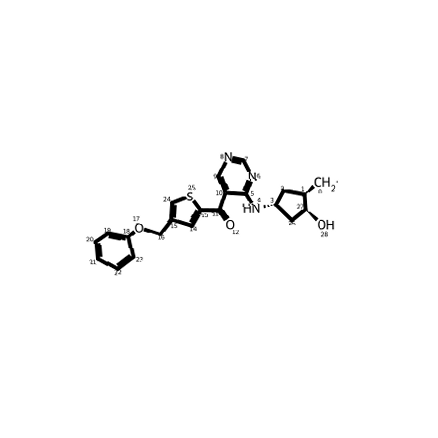 [CH2][C@@H]1C[C@@H](Nc2ncncc2C(=O)c2cc(COc3ccccc3)cs2)C[C@@H]1O